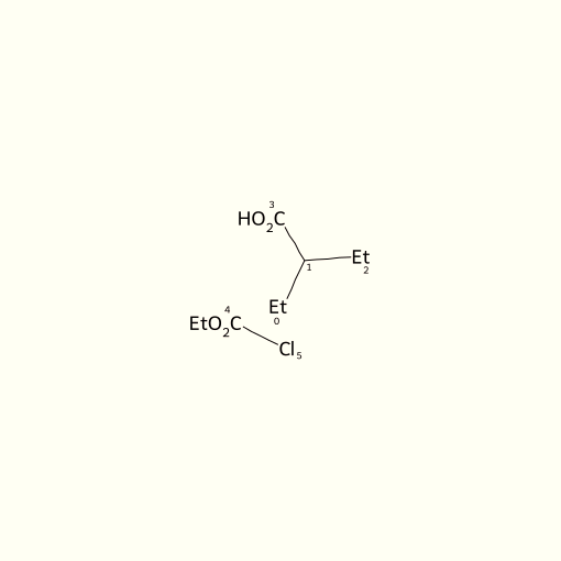 CCC(CC)C(=O)O.CCOC(=O)Cl